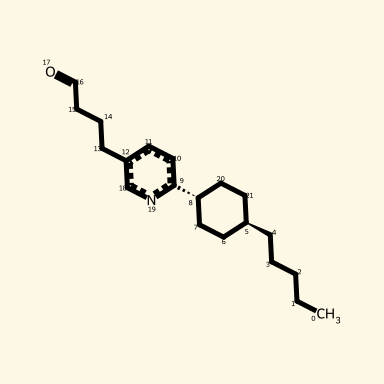 CCCCC[C@H]1CC[C@H](c2ccc(CCCC=O)cn2)CC1